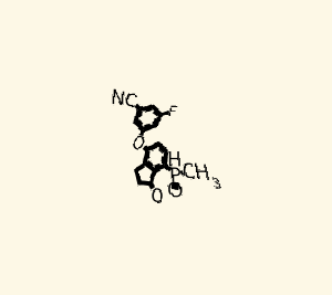 C[PH](=O)c1ccc(Oc2cc(F)cc(C#N)c2)c2c1C(=O)CC2